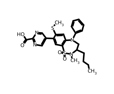 CCCCC1CN(c2ccccc2)c2cc(SC)c(-c3cnc(C(=O)O)nc3)cc2S(=O)(=O)N1C